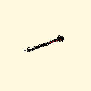 O=C(O)CCOCCOCCOCCOCCOCCOCCOCCOCCOCCOCCNC(=O)CN1C(=O)C=CC1=O